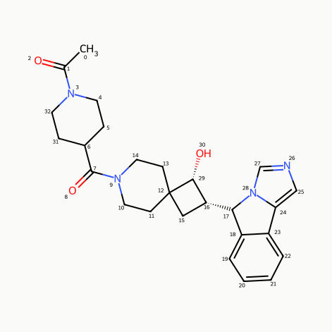 CC(=O)N1CCC(C(=O)N2CCC3(CC2)C[C@@H](C2c4ccccc4-c4cncn42)[C@H]3O)CC1